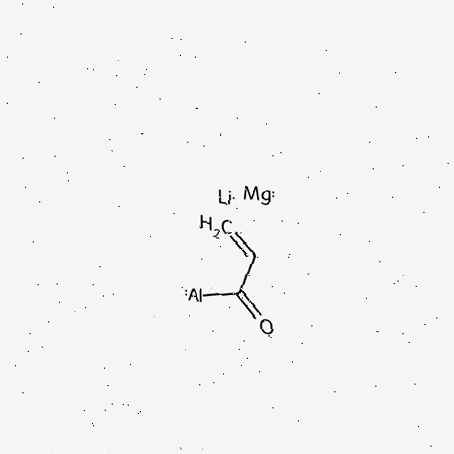 C=C[C](=O)[Al].[Li].[Mg]